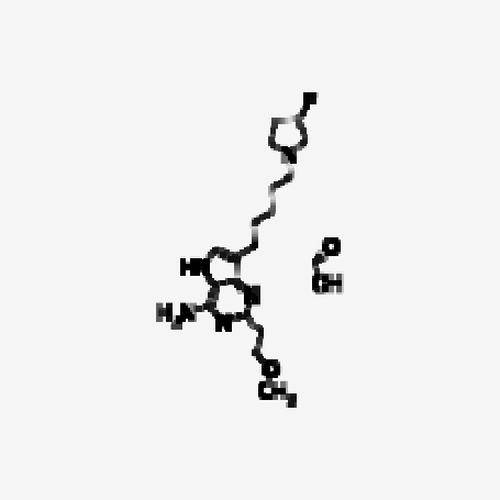 COCCc1nc(N)c2[nH]cc(CCCCCN3CCC(F)C3)c2n1.O=CO